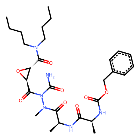 CCCCN(CCCC)C(=O)[C@H]1O[C@@H]1C(=O)N(C(N)=O)N(C)C(=O)[C@H](C)NC(=O)[C@H](C)NC(=O)OCc1ccccc1